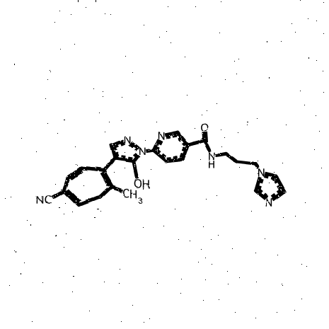 CC1=C(c2cnn(-c3ccc(C(=O)NCCCn4ccnc4)cn3)c2O)C=CC(C#N)=CC1